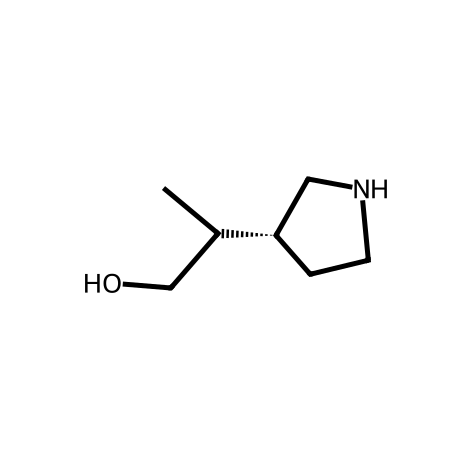 CC(CO)[C@H]1CCNC1